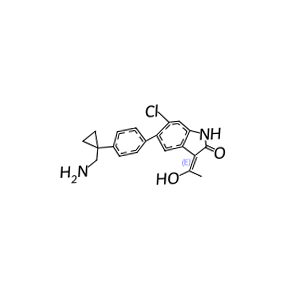 C/C(O)=C1\C(=O)Nc2cc(Cl)c(-c3ccc(C4(CN)CC4)cc3)cc21